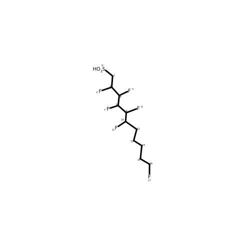 O=S(=O)(O)CC(F)C(F)C(F)C(F)C(F)CCCCCF